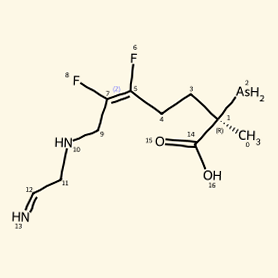 C[C@@]([AsH2])(CC/C(F)=C(/F)CNCC=N)C(=O)O